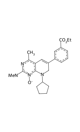 CCOC(=O)c1cccc(C2=Cc3c(C)nc(NC)[n+]([O-])c3N(C3CCCC3)C2)c1